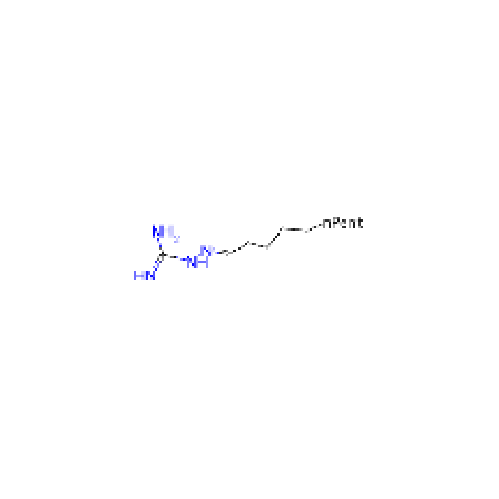 CCCCCCCCCC=NNC(=N)N